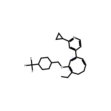 CC/C1=C(OCC2CCC(C(F)(F)F)CC2)/C=C(c2ccnc(C3CC3)c2)\C=C/CC1